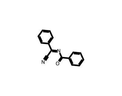 N#C/C(=N\C(=O)c1ccccc1)c1ccccc1